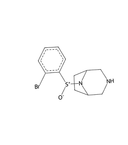 [O-][S+](c1ccccc1Br)N1C2CCC1CNC2